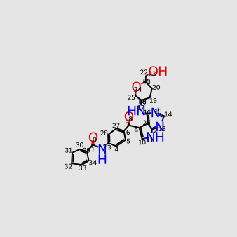 O=C(Nc1ccc(C(=O)c2c[nH]c3ncnc(N[C@@H]4CC[C@H](CO)OC4)c23)cc1)c1ccccc1